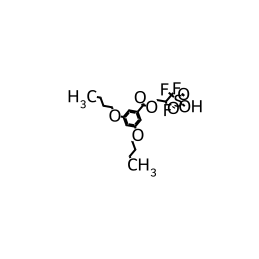 CCCCOc1cc(OCCCC)cc(C(=O)OCC(F)C(F)(F)S(=O)(=O)O)c1